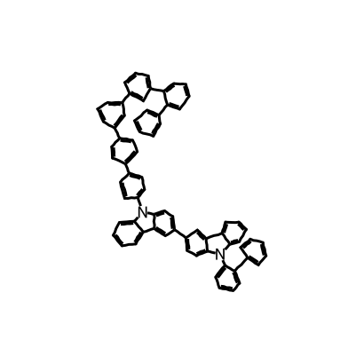 c1ccc(-c2ccccc2-c2cccc(-c3cccc(-c4ccc(-c5ccc(-n6c7ccccc7c7cc(-c8ccc9c(c8)c8ccccc8n9-c8ccccc8-c8ccccc8)ccc76)cc5)cc4)c3)c2)cc1